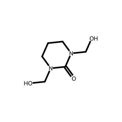 O=C1N(CO)CCCN1CO